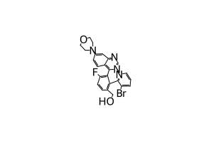 OCc1ccc(F)c(-c2ncnc3cc(N4CCOCC4)ccc23)c1-c1ncccc1Br